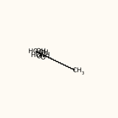 CCCCCCCCCCCCCCCCCCCC=CC=CC=CC(=O)N[C@@H](C=O)[C@@H](O)[C@H](O)[C@H](O)CO